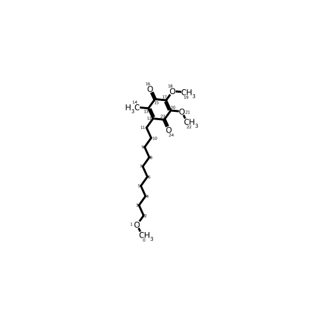 COCCCCCCCCCCC1=C(C)C(=O)C(OC)=C(OC)C1=O